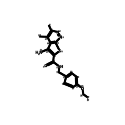 Cc1nnc2sc(C(=O)NCc3ccc(OCF)cc3)c(N)c2c1C